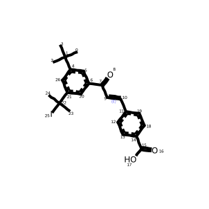 CC(C)(C)c1cc(C(=O)/C=C/c2ccc(C(=O)O)cc2)cc(C(C)(C)I)c1